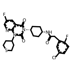 O=C(Cc1cc(Cl)ccc1F)N[C@H]1CC[C@@H](n2c(=O)c3cc(F)cnc3n(C3CCSCC3)c2=O)CC1